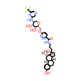 C[C@]12CC[C@@H]3c4ccc(O)cc4CC[C@H]3[C@@H]1CC[C@@]2(O)CCCNC(=O)c1ccc(OC[C@H]2OC[C@H](Nc3cncc(C(F)(F)F)n3)[C@@H](O)[C@H]2O)nn1